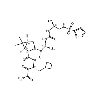 CC(C)[C@@H](CNS(=O)(=O)c1cccs1)NC(=O)N[C@H](C(=O)N1C[C@H]2[C@@H]([C@H]1C(=O)N[C@H](CC1CCC1)C(=O)C(N)=O)C2(C)C)C(C)(C)C